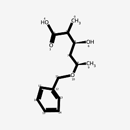 CC(C(=O)O)[C@@H](O)C[C@@H](C)OCc1ccccc1